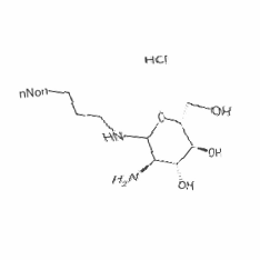 CCCCCCCCCCCCNC1O[C@H](CO)[C@@H](O)[C@H](O)[C@H]1N.Cl